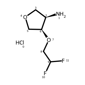 Cl.N[C@@H]1COC[C@@H]1OCC(F)F